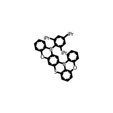 CC(C)c1cc(C(C)C)c(B2c3ccccc3Oc3cc4c(cc32)B2c3ccccc3Oc3cccc(c32)S4)c(C(C)C)c1